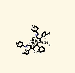 CC1=C(c2ccc(I)s2)C(/C=C/c2ccncc2)=[N+]2C1=C(c1ccccc1)c1c(C)c(-c3ccc(I)s3)c(/C=C/c3ccncc3)n1[B-]2(F)F